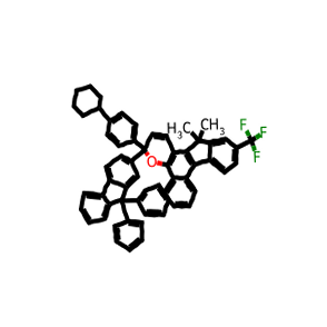 CC1(C)c2cc(C(F)(F)F)ccc2-c2c1c1c(c3ccccc23)OC(c2ccc(C3CCCCC3)cc2)(c2ccc3c(c2)C(c2ccccc2)(c2ccccc2)c2ccccc2-3)C=C1